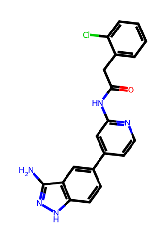 Nc1n[nH]c2ccc(-c3ccnc(NC(=O)Cc4ccccc4Cl)c3)cc12